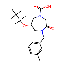 Cc1cccc(CN2CC(O[Si](C)(C)C(C)(C)C)CN(C(=O)O)CC2=O)c1